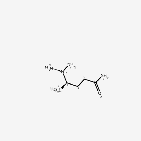 NC(=O)CC[C@@H](C(=O)O)N(N)N